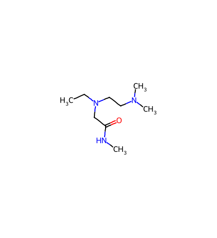 CCN(CCN(C)C)CC(=O)NC